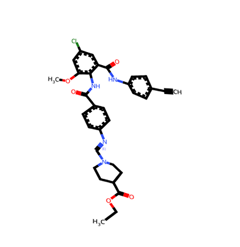 C#Cc1ccc(NC(=O)c2cc(Cl)cc(OC)c2NC(=O)c2ccc(/N=C/N3CCC(C(=O)OCC)CC3)cc2)cc1